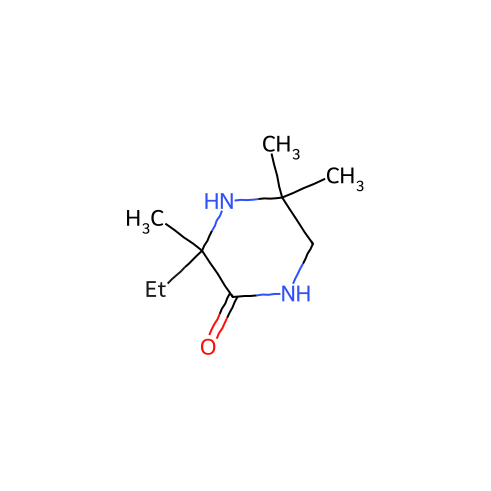 CCC1(C)NC(C)(C)CNC1=O